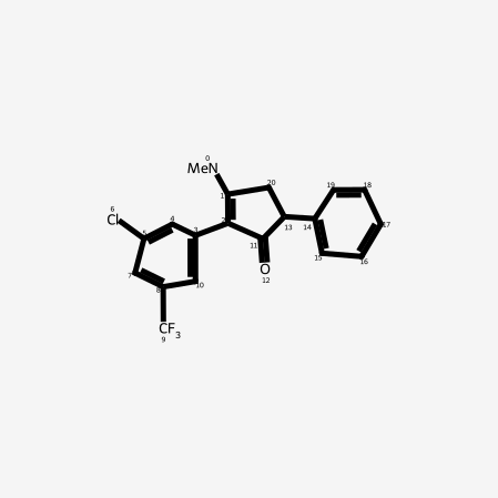 CNC1=C(c2cc(Cl)cc(C(F)(F)F)c2)C(=O)C(c2ccccc2)C1